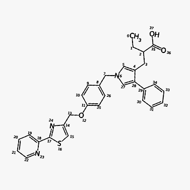 CCC(Cc1cn(Cc2ccc(OCc3csc(-c4ccccn4)n3)cc2)cc1-c1ccccc1)C(=O)O